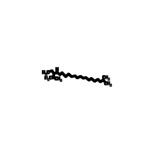 CCC(NCCCCCCCCCCCCCCCC(C)C)N(C)C